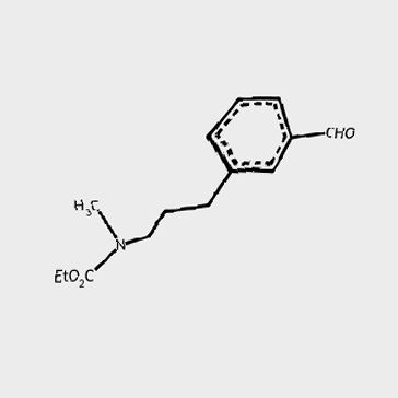 CCOC(=O)N(C)CCCc1cccc(C=O)c1